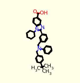 CC(C)(C)c1ccc(CN(Cc2cccc(-c3nc4cc(C(=O)O)ccc4n3C3CCCCC3)c2)c2ccccc2)cc1